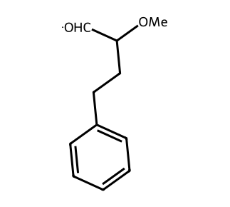 COC([C]=O)CCc1ccccc1